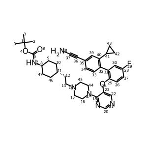 CC(C)(C)OC(=O)N[C@H]1CC[C@H](CCN2CCN(c3ncncc3Oc3ccc(F)cc3-c3ccc(C#CN)cc3C3CC3)CC2)CC1